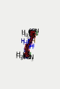 Cc1cc(N([C@H]2CCN(CCOCCNC(=O)NCCCCNC(=O)N(N)CCOCCN3CC[C@H](N(c4ccc(O[C@H]5c6cc(Cl)cc(C#N)c6C[C@@H]5N(C)C)c(C)c4)[SH](=O)=O)C3)C2)[SH](=O)=O)ccc1O[C@H]1c2cc(Cl)cc(C#N)c2C[C@@H]1N(C)C